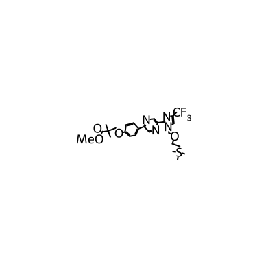 COC(=O)C(C)(C)COc1ccc(-c2cnc(-c3nc(C(F)(F)F)cn3COCCS(C)(C)C)cn2)cc1